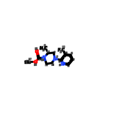 C[C@@H]1CN(c2ncccc2C(F)(F)F)CCN1C(=O)OC(C)(C)C